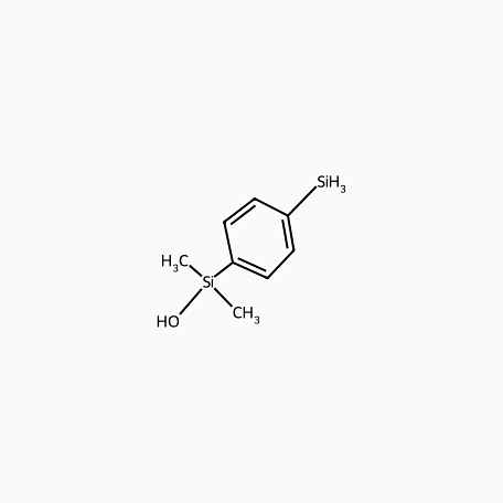 C[Si](C)(O)c1ccc([SiH3])cc1